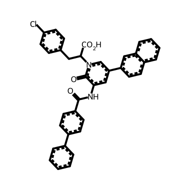 O=C(Nc1cc(-c2ccc3ccccc3c2)cn(C(Cc2ccc(Cl)cc2)C(=O)O)c1=O)c1ccc(-c2ccccc2)cc1